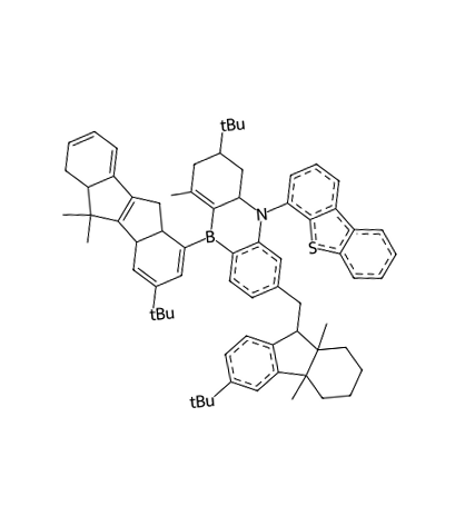 CC1=C2B(C3=CC(C(C)(C)C)=CC4C5=C(CC34)C3=CC=CCC3C5(C)C)c3ccc(CC4c5ccc(C(C)(C)C)cc5C5(C)CCCCC45C)cc3N(c3cccc4c3sc3ccccc34)C2CC(C(C)(C)C)C1